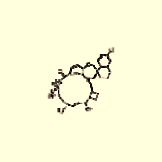 CC(C)[C@H]1C[C@@H](C)/C=C/C(O)C2CCC2CN2C[C@@]3(CCCc4cc(Cl)ccc43)COc3ccc(cc32)C(=O)NS1(=O)=O